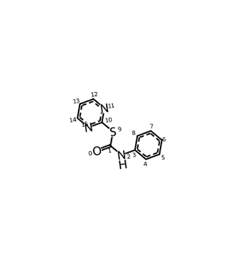 O=C(Nc1ccccc1)Sc1ncccn1